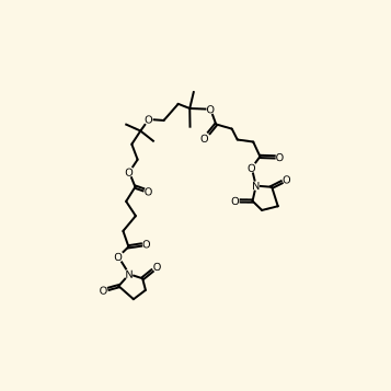 CC(C)(CCOC(=O)CCCC(=O)ON1C(=O)CCC1=O)OCCC(C)(C)OC(=O)CCCC(=O)ON1C(=O)CCC1=O